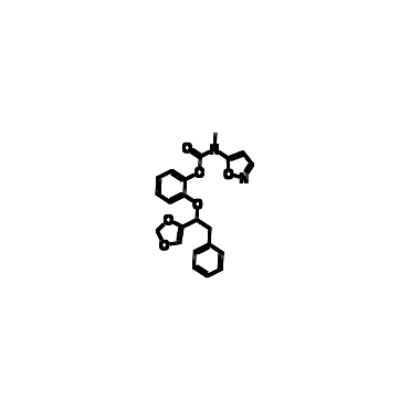 CN(C(=O)Oc1ccccc1OC(Cc1ccccc1)C1=COCO1)c1ccno1